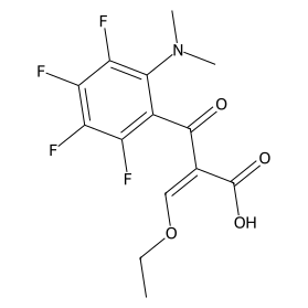 CCOC=C(C(=O)O)C(=O)c1c(F)c(F)c(F)c(F)c1N(C)C